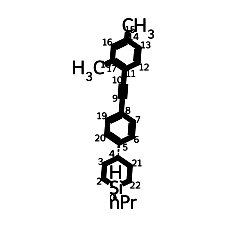 CCC[Si@H]1CC[C@H](c2ccc(C#Cc3ccc(C)cc3C)cc2)CC1